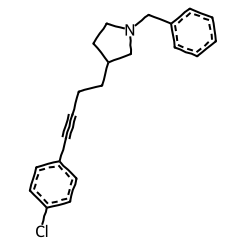 Clc1ccc(C#CCCC2CCN(Cc3ccccc3)C2)cc1